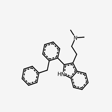 CN(C)CCc1c(-c2ccccc2Cc2ccccc2)[nH]c2ccccc12